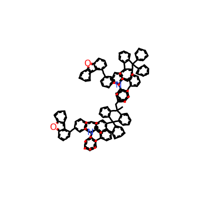 CC1(Cc2cccc(-c3ccccc3-c3ccccc3-c3ccccc3N(c3cccc(-c4cccc5oc6ccccc6c45)c3)c3ccc4c(c3)-c3ccccc3C4(c3ccccc3)c3ccccc3)c2)c2ccccc2C2(c3ccccc3-c3cc(N(c4cccc(-c5cccc6oc7ccccc7c56)c4)c4ccccc4-c4ccccc4-c4ccccc4-c4ccccc4)ccc32)c2ccccc21